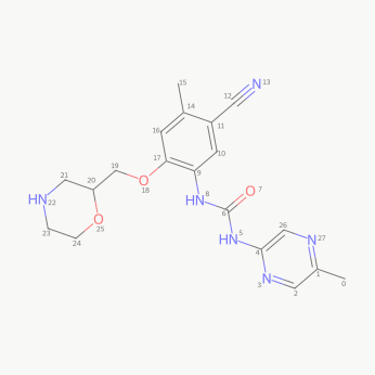 Cc1cnc(NC(=O)Nc2cc(C#N)c(C)cc2OCC2CNCCO2)cn1